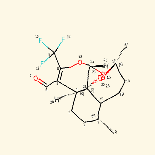 C[C@@H]1CC[C@H]2C(C=O)=C(C(F)(F)F)O[C@@H]3O[C@]4(C)CCC1[C@]32OO4